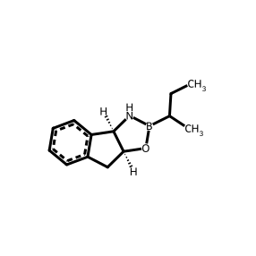 CCC(C)B1N[C@@H]2c3ccccc3C[C@@H]2O1